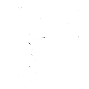 COC(=O)C1CCCN1[C@H]1CC[C@@]2(C)[C@@H](CC[C@]3(C)[C@@H]2C(=O)C=C2[C@@H]4C[C@@](C)(C(=O)O)CC[C@]4(C)CC[C@]23C)[C@]1(C)C(=O)OCc1oc(=O)oc1C(C)C